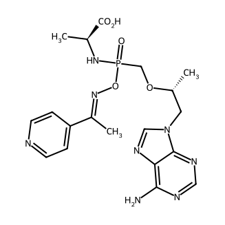 C/C(=N\OP(=O)(CO[C@H](C)Cn1cnc2c(N)ncnc21)N[C@@H](C)C(=O)O)c1ccncc1